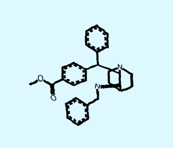 COC(=O)c1ccc(C(c2ccccc2)C2/C(=N/Cc3ccccc3)C3CCN2CC3)cc1